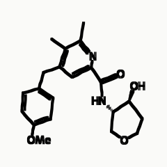 COc1ccc(Cc2cc(C(=O)N[C@H]3COCC[C@@H]3O)nc(C)c2C)cc1